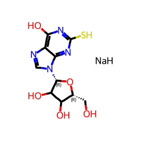 OC[C@H]1O[C@@H](n2cnc3c(O)nc(S)nc32)C(O)C1O.[NaH]